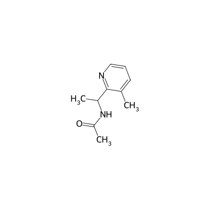 CC(=O)NC(C)c1ncccc1C